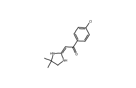 CC1(C)CNC(=CC(=O)c2ccc(Cl)cc2)N1